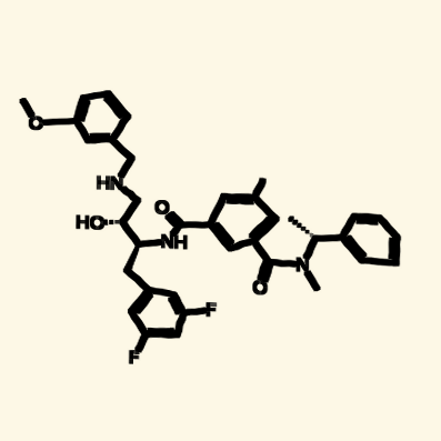 COc1cccc(CNC[C@@H](O)[C@H](Cc2cc(F)cc(F)c2)NC(=O)c2cc(C)cc(C(=O)N(C)[C@H](C)c3ccccc3)c2)c1